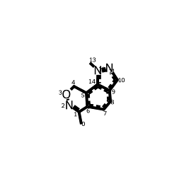 CC1=NOCc2c1ccc1cnn(C)c21